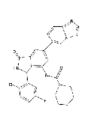 O=C1NC(c2cc(F)ccc2Cl)c2c(NC(=O)C3CCCCC3)cc(-c3ccc4ncnn4c3)cc21